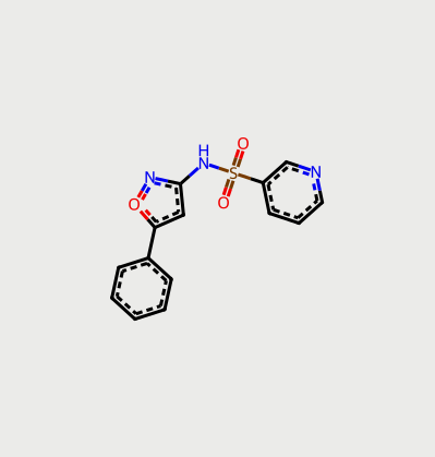 O=S(=O)(Nc1cc(-c2ccccc2)on1)c1cccnc1